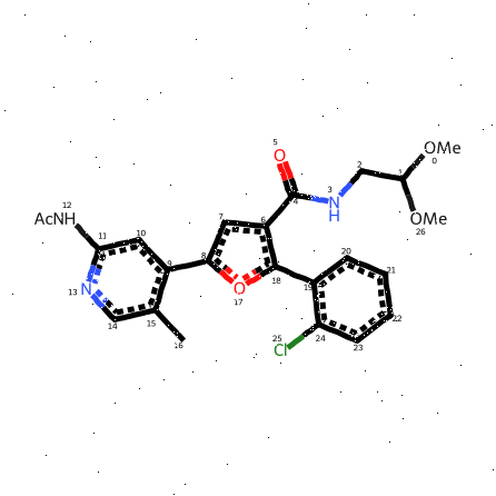 COC(CNC(=O)c1cc(-c2cc(NC(C)=O)ncc2C)oc1-c1ccccc1Cl)OC